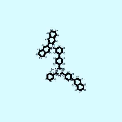 c1ccc(C2N=C(c3ccc(-c4ccc5ccccc5c4)cc3)N=C(c3ccc(-c4cccc(-n5c6cc7ccccc7cc6c6cc7ccccc7cc65)c4)cc3)N2)cc1